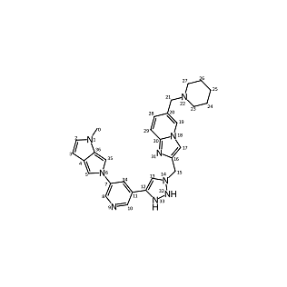 Cn1ccc2cn(-c3cncc(C4=CN(Cc5cn6cc(CN7CCCCC7)ccc6n5)NN4)c3)cc21